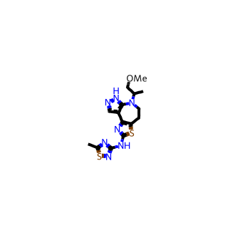 COCC(C)N1CCc2sc(Nc3nsc(C)n3)nc2-c2cn[nH]c21